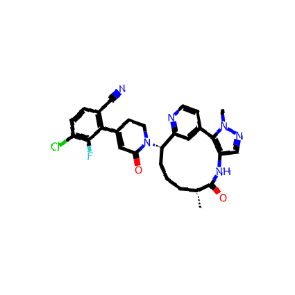 C[C@@H]1CCC[C@H](N2CCC(c3c(C#N)ccc(Cl)c3F)=CC2=O)c2cc(ccn2)-c2c(cnn2C)NC1=O